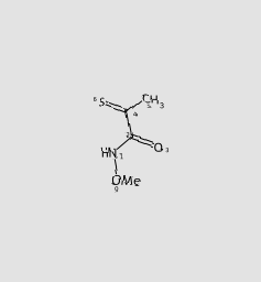 CONC(=O)C(C)=S